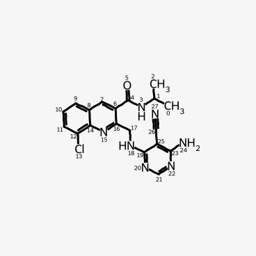 CC(C)NC(=O)c1cc2cccc(Cl)c2nc1CNc1ncnc(N)c1C#N